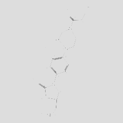 CC(=O)NCC1CN(c2ccc(N3CCN(C(=O)CO)CC3)c(F)c2)C(=O)O1